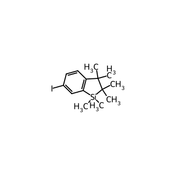 CC1(C)c2ccc(I)cc2[Si](C)(C)C1(C)C